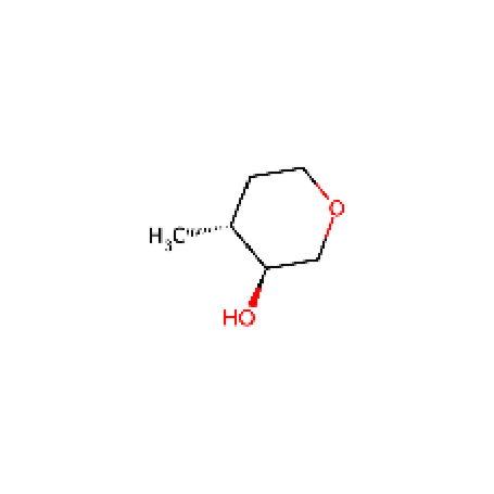 C[C@@H]1CCOC[C@H]1O